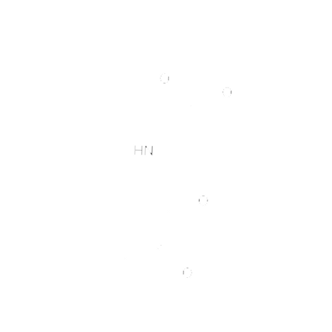 COC(=O)C1COC2=C(CCCC2=O)N1